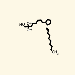 CCCCCCCC/C=C/[C@H]1CCC[C@@H]1C/C=C\CCCC(O)(O)CO